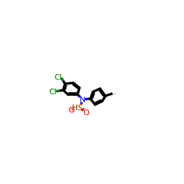 [CH2]c1ccc(N(c2ccc(Cl)c(Cl)c2)[SH](=O)=O)cc1